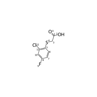 O=C(O)CSc1ccc(F)cc1Cl